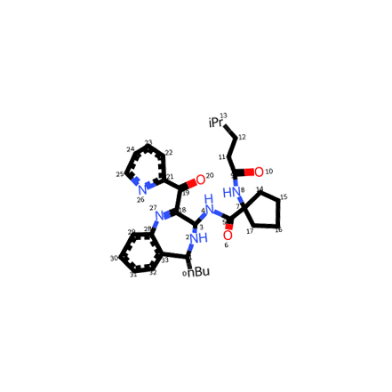 CCCCC1NC(NC(=O)C2(NC(=O)CCC(C)C)CCCC2)C(C(=O)c2ccccn2)=Nc2ccccc21